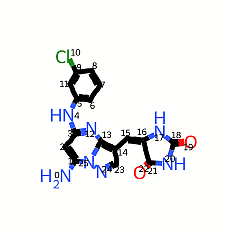 Nc1cc(Nc2cccc(Cl)c2)nc2c(/C=C3/NC(=O)NC3=O)cnn12